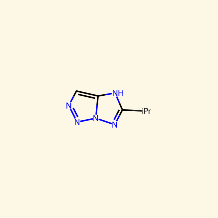 CC(C)c1nn2nncc2[nH]1